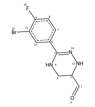 O=CC1CNC(c2ccc(F)c(Br)c2)=NN1